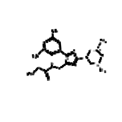 COCC(=O)NCc1nc(N2C[C@@H](C)O[C@@H](C)C2)sc1-c1cc(C)nc(C)c1